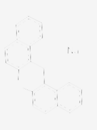 Cc1ccc2ccccc2c1Cc1c(C)ccc2ccccc12.[Na]